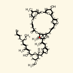 C=C1C[C@@H]2C[C@@H]3C[C@@H](O)C[C@@H](O3)c3coc(n3)/C=C/C[C@H]3OC(/C(C)=C/c4coc(C[C@]5(O)C[C@H](OC)C[C@H]([C@H](O)/C=C(C)/C=C/[C@@H](C/C=C/Br)OC)O5)n4)[C@H](C)[C@@H](OC(=O)/C=C\C[C@@H](C1)O2)[C@H]3C